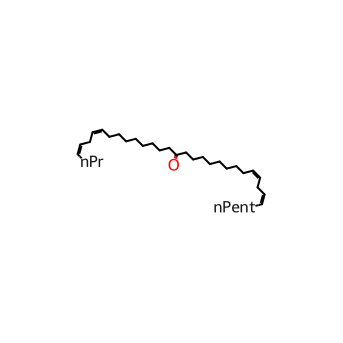 CCC/C=C\C/C=C\CCCCCCCCC(=O)CCCCCCCC/C=C\C/C=C\CCCCC